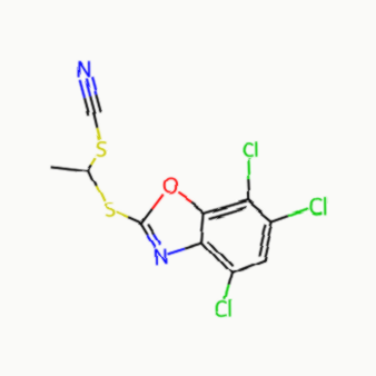 CC(SC#N)Sc1nc2c(Cl)cc(Cl)c(Cl)c2o1